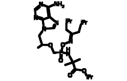 CC(C)CC(CC(C)C)=NO[P@](=O)(COC(C)Cn1cnc2c(N)ncnc21)NC(C)(C)C(=O)OC(C)C